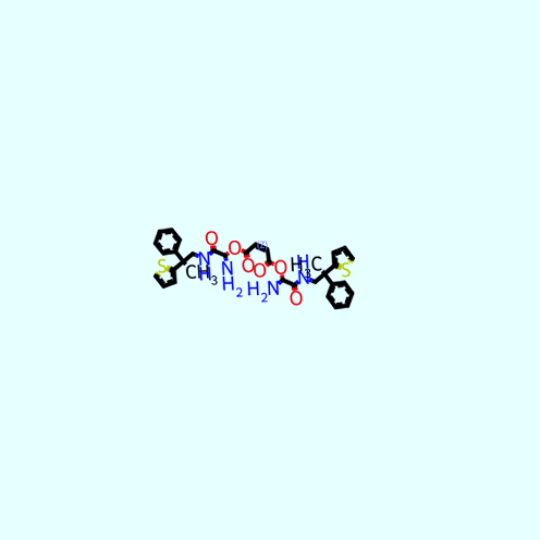 CC(CNC(=O)C(N)OC(=O)/C=C\C(=O)OC(N)C(=O)NCC(C)(c1ccccc1)c1cccs1)(c1ccccc1)c1cccs1